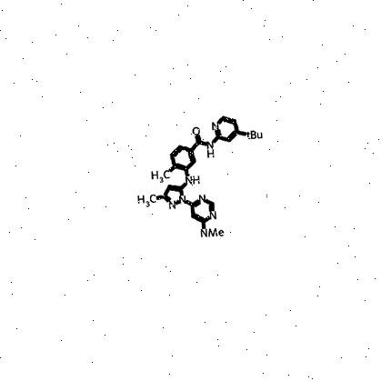 CNc1cc(-n2nc(C)cc2Nc2cc(C(=O)Nc3cc(C(C)(C)C)ccn3)ccc2C)ncn1